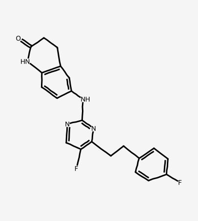 O=C1CCc2cc(Nc3ncc(F)c(CCc4ccc(F)cc4)n3)ccc2N1